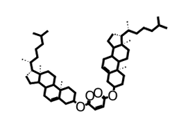 CC(C)CCC[C@@H](C)[C@H]1CCC2C3CC=C4CC(OC(=O)/C=C\C(=O)OC5CC[C@@]6(C)C(=CCC7C6CC[C@@]6(C)C7CC[C@@H]6[C@H](C)CCCC(C)C)C5)CC[C@]4(C)C3CC[C@@]21C